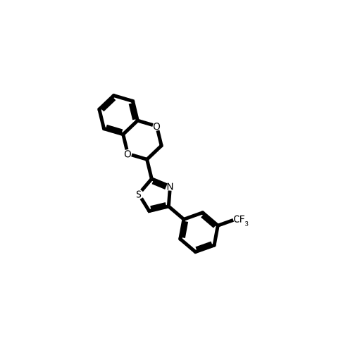 FC(F)(F)c1cccc(-c2csc(C3COc4ccccc4O3)n2)c1